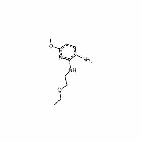 CCOCCNc1nc(OC)ccc1N